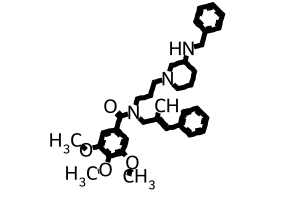 COc1cc(C(=O)N(CCCN2CCCC(NCc3ccccc3)C2)CC(C)=Cc2ccccc2)cc(OC)c1OC